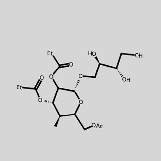 CCC(=O)OC1[C@H](OC[C@@H](O)[C@@H](O)CO)OC(COC(C)=O)[C@@H](C)[C@@H]1OC(=O)CC